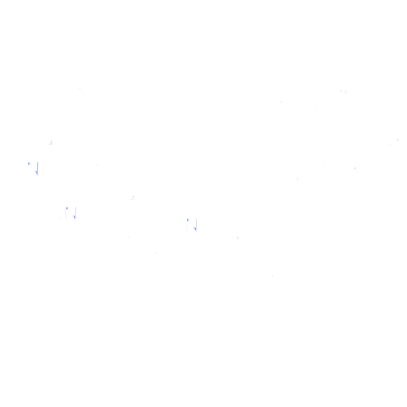 Cc1nc(CCc2cc3ccccc3c(CCc3cc(C)c4ccccc4c3)n2)c2ccccc2n1